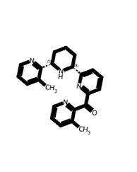 Cc1cccnc1C(=O)c1cccc([C@H]2CCC[C@@H](c3ncccc3C)N2)n1